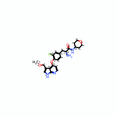 COCc1c[nH]c2nccc(Oc3ccc(C[C@H](N)C(=O)NC4CCOCC4)cc3F)c12